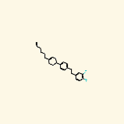 C=CCCCCC1=CCC(c2ccc(CCc3ccc(F)c(F)c3)cc2)CC1